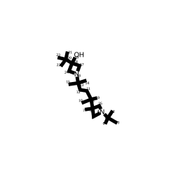 CC(C)(C)N1CC(C)(C(C)(C)CCC(C)(C)N2CC(O)(C(C)(C)C)C2)C1